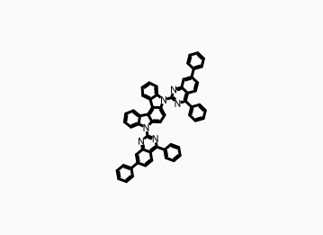 c1ccc(-c2ccc3c(-c4ccccc4)nc(-n4c5ccccc5c5c6c7ccccc7n(-c7nc(-c8ccccc8)c8ccc(-c9ccccc9)cc8n7)c6ccc54)nc3c2)cc1